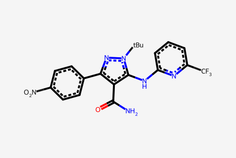 CC(C)(C)n1nc(-c2ccc([N+](=O)[O-])cc2)c(C(N)=O)c1Nc1cccc(C(F)(F)F)n1